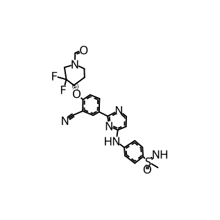 CS(=N)(=O)c1ccc(Nc2ccnc(-c3ccc(O[C@H]4CCN(C=O)CC4(F)F)c(C#N)c3)n2)cc1